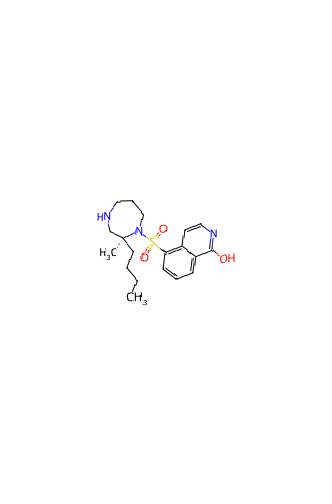 CCCC[C@@]1(C)CNCCCN1S(=O)(=O)c1cccc2c(O)nccc12